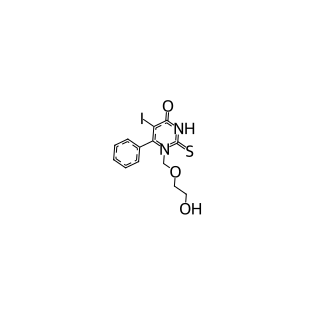 O=c1[nH]c(=S)n(COCCO)c(-c2ccccc2)c1I